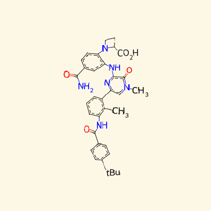 Cc1c(NC(=O)c2ccc(C(C)(C)C)cc2)cccc1-c1cn(C)c(=O)c(Nc2cc(C(N)=O)ccc2N2CCC2C(=O)O)n1